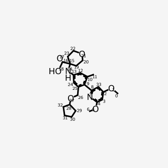 COc1cc(OC)nc(-c2c(C)cc(NC3(C(=O)O)CCOCC3)cc2COC2CCCC2)c1